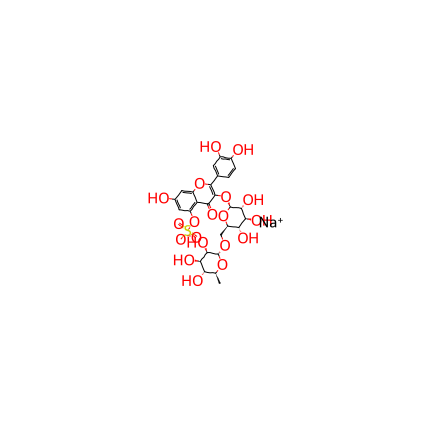 C[C@@H]1O[C@@H](OC[C@H]2O[C@@H](Oc3c(-c4ccc(O)c(O)c4)oc4cc(O)cc(OS(=O)(=O)[O-])c4c3=O)[C@H](O)[C@@H](O)[C@@H]2O)[C@H](O)[C@H](O)[C@H]1O.[Na+]